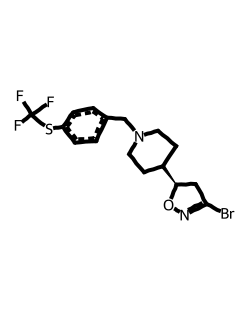 FC(F)(F)Sc1ccc(CN2CCC([C@H]3CC(Br)=NO3)CC2)cc1